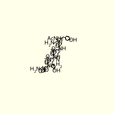 CC(=O)N[C@@H](Cc1ccc(O)cc1)CN(CC(=O)N[C@@H](CCCCN)CN(CC(=O)N[C@@H](CCc1ccc(O)cc1)CN(CC(=O)N[C@@H](C)CN(CC(N)=O)S(C)(=O)=O)S(C)(=O)=O)S(C)(=O)=O)S(=O)(=O)CCN